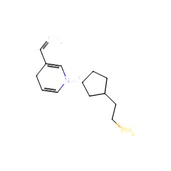 C=CC1=CN([C@@H]2CCC(CCP)C2)C=CC1